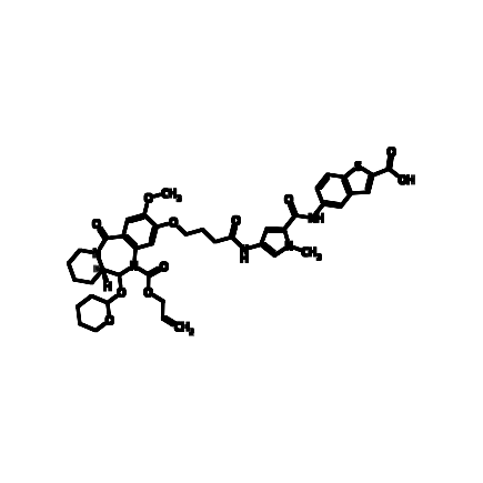 C=CCOC(=O)N1c2cc(OCCCC(=O)Nc3cc(C(=O)Nc4ccc5sc(C(=O)O)cc5c4)n(C)c3)c(OC)cc2C(=O)N2CCCC[C@H]2C1OC1CCCCO1